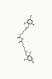 C=C(CCCCOCc1c(F)cc(F)cc1F)OC(=C)CCCCOCc1c(F)cc(F)cc1F